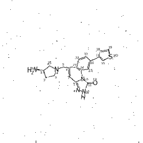 N[C@@H]1CCN(Cc2cc3n[nH]c(=O)n3c3cc(-c4ccsc4)ccc23)C1